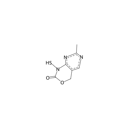 Cc1ncc2c(n1)N(S)C(=O)OC2